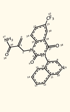 C=C(Cn1c(=O)n(-c2cncc3ccccc23)c(=O)c2cc(C(F)(F)F)ccc21)C(N)=O